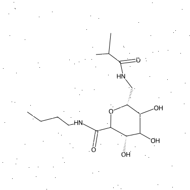 CCCCNC(=O)C1O[C@H](CNC(=O)C(C)C)C(O)C(O)[C@@H]1O